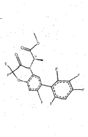 COC(=O)[C@@H](C)N1C(=O)C(F)(F)Oc2cc(F)c(-c3c(F)cc(F)c(F)c3F)cc21